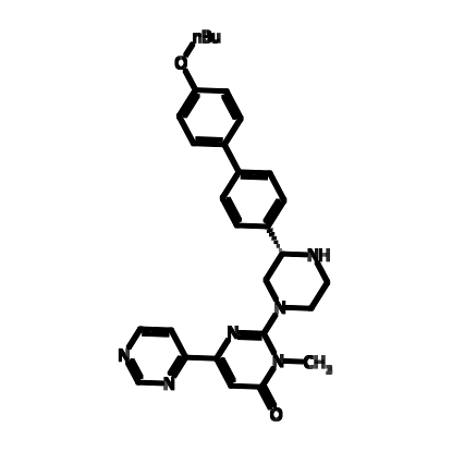 CCCCOc1ccc(-c2ccc([C@H]3CN(c4nc(-c5ccncn5)cc(=O)n4C)CCN3)cc2)cc1